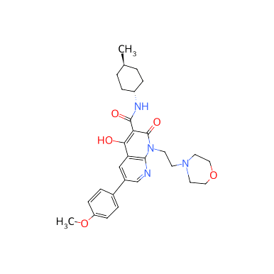 COc1ccc(-c2cnc3c(c2)c(O)c(C(=O)N[C@H]2CC[C@H](C)CC2)c(=O)n3CCN2CCOCC2)cc1